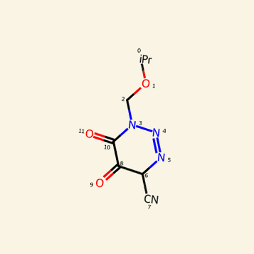 [CH2]C([CH2])OCN1N=NC(C#N)C(=O)C1=O